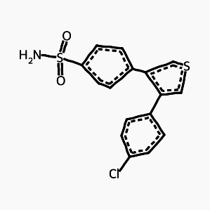 NS(=O)(=O)c1ccc(-c2cscc2-c2ccc(Cl)cc2)cc1